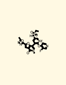 CCS(=O)(=O)Nc1cnc(Oc2c(F)cncc2F)c(-c2cn(C)c(=O)c3cc(-c4nnc(C)o4)oc23)c1